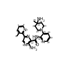 Cc1cccnc1-c1cnc(N)c(C(=O)Nc2ncccc2N2CCC(C)(N)CC2)n1